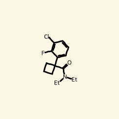 CCN(CC)C(=O)C1(c2cccc(Cl)c2F)CCC1